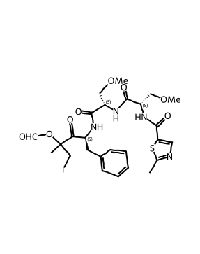 COC[C@H](NC(=O)c1cnc(C)s1)C(=O)N[C@@H](COC)C(=O)N[C@@H](Cc1ccccc1)C(=O)C(C)(CI)OC=O